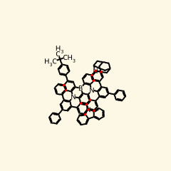 CC(C)(C)c1ccc(-c2ccc3c(c2)B2c4ccc(N5C6CC7CC(C6)CC5C7)cc4N(c4c(-c5ccccc5)cc(-c5ccccc5)cc4-c4ccccc4)c4cc(-n5c6ccccc6c6ccccc65)cc(c42)N3c2c(-c3ccccc3)cc(-c3ccccc3)cc2-c2ccccc2)cc1